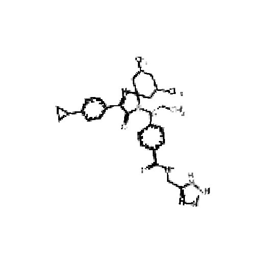 CC[C@H](c1ccc(C(=O)NCC2=NNNN2)cc1)N1C(=O)C(c2ccc(C3CC3)cc2)=NC12CC(C)CC(C)C2